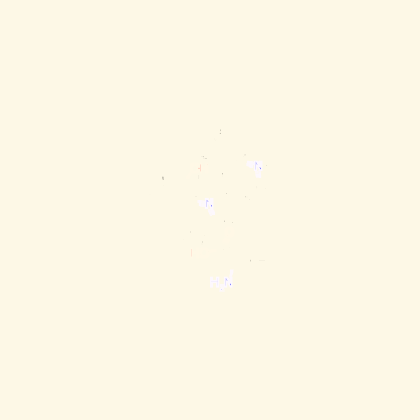 CC(N)C(=O)O.Oc1cccc2cccnc12.c1ccc2ncccc2c1